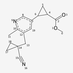 COC(=O)C1CC1c1cnc(C)c(CC2(C#N)CC2)c1